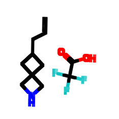 C=CCC1CC2(CNC2)C1.O=C(O)C(F)(F)F